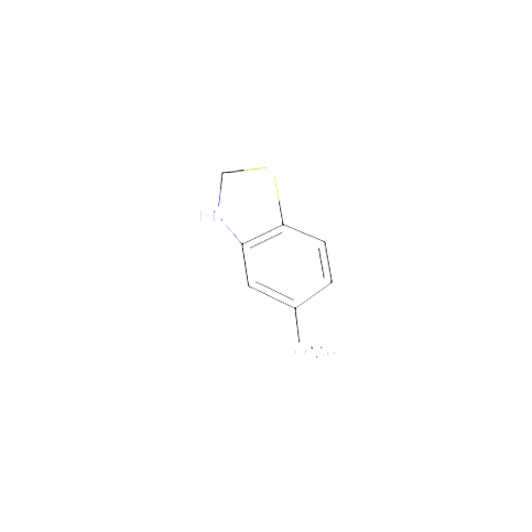 COc1ccc2c(c1)NCS2